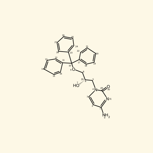 Nc1ccn(C[C@H](O)COC(c2ccccc2)(c2ccccc2)c2ccccc2)c(=O)n1